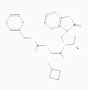 N#C[C@@H]1C[C@@]2(CN1C(=O)[C@H](CC1CCC1)NC(=O)OCc1ccccc1)C(=O)Nc1ccccc12